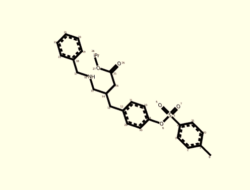 Cc1ccc(S(=O)(=O)Oc2ccc(CC(CNCc3ccccc3)CC(=O)OC(C)C)cc2)cc1